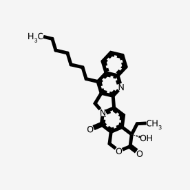 CCCCCCCc1c2c(nc3ccccc13)-c1cc3c(c(=O)n1C2)COC(=O)[C@]3(O)CC